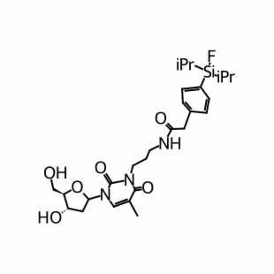 Cc1cn(C2C[C@H](O)[C@@H](CO)O2)c(=O)n(CCCNC(=O)Cc2ccc([Si](F)(C(C)C)C(C)C)cc2)c1=O